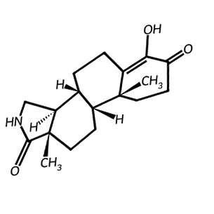 C[C@]12CCC(=O)C(O)=C1CC[C@@H]1[C@H]2CC[C@]2(C)C(=O)NC[C@@H]12